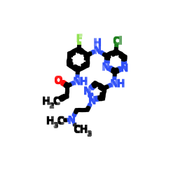 C=CC(=O)Nc1ccc(F)c(Nc2nc(Nc3cnn(CCN(C)C)c3)ncc2Cl)c1